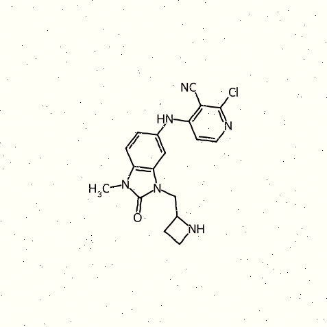 Cn1c(=O)n(CC2CCN2)c2cc(Nc3ccnc(Cl)c3C#N)ccc21